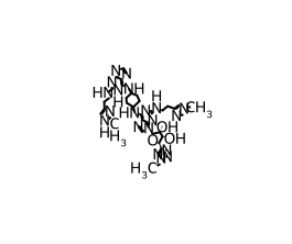 CCn1nnc([C@H]2O[C@@H](n3cnc4c(NC5CCC(Nc6[nH]c(NCCc7c[nH]c(C)n7)nc7ncnc6-7)CC5)nc(NCCc5cn(C)cn5)nc43)[C@H](O)[C@@H]2O)n1